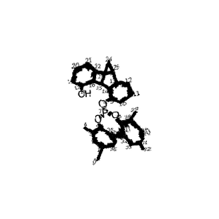 Cc1cc(C)c2op(Oc3cccc4c3C3c5c(O)cccc5C35CC45)oc3c(C)cc(C)cc3c2c1